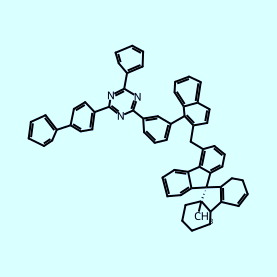 CC12CCCCC1C1=C(CCC=C1)[C@]21c2ccccc2-c2c(Cc3ccc4ccccc4c3-c3cccc(-c4nc(-c5ccccc5)nc(-c5ccc(-c6ccccc6)cc5)n4)c3)cccc21